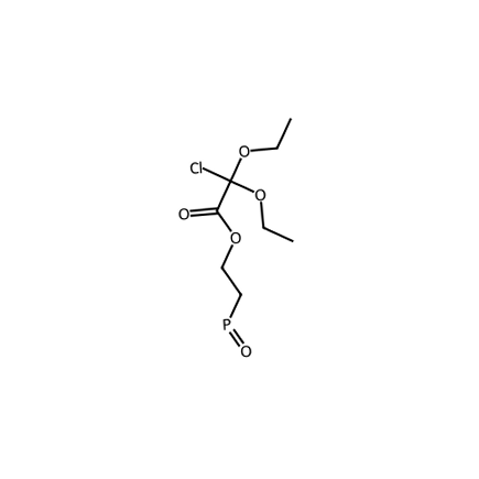 CCOC(Cl)(OCC)C(=O)OCCP=O